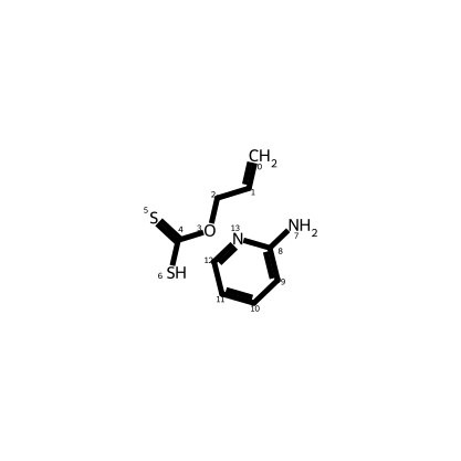 C=CCOC(=S)S.Nc1ccccn1